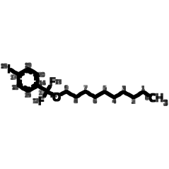 CCCCCCCCCCOC(F)(F)c1ccc(I)cc1